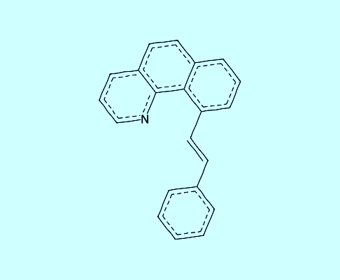 C(=C\c1cccc2ccc3cccnc3c12)/c1ccccc1